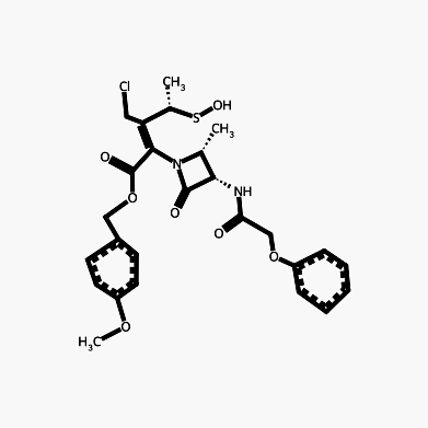 COc1ccc(COC(=O)/C(=C(\CCl)[C@H](C)SO)N2C(=O)[C@@H](NC(=O)COc3ccccc3)[C@H]2C)cc1